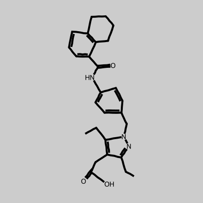 CCc1nn(Cc2ccc(NC(=O)c3cccc4c3CCCC4)cc2)c(CC)c1CC(=O)O